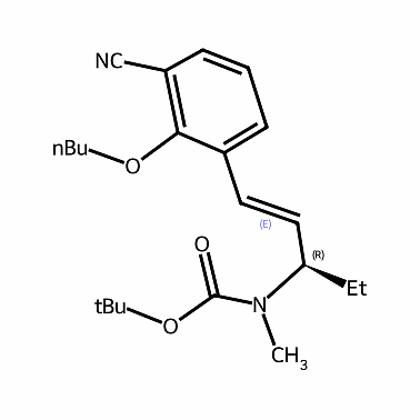 CCCCOc1c(C#N)cccc1/C=C/[C@@H](CC)N(C)C(=O)OC(C)(C)C